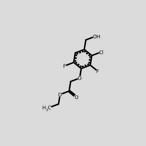 CCOC(=O)COc1c(F)cc(CO)c(Cl)c1F